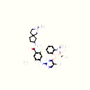 COc1cc(C(=O)NC2CCC3(CCN(C)C3)C2)c(F)cc1Nc1ncc(C(F)(F)F)c(Oc2ccccc2N(C)S(C)(=O)=O)n1